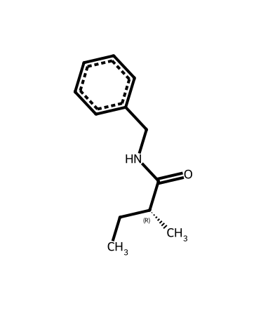 CC[C@@H](C)C(=O)NCc1ccccc1